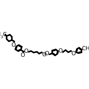 Cc1ccc(OCCCCOc2ccc(COOCCCCCCOC(=O)c3ccc(OCC4CCC(C)CC4)cc3)cc2)cc1